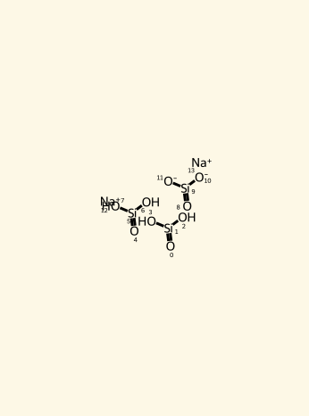 O=[Si](O)O.O=[Si](O)O.O=[Si]([O-])[O-].[Na+].[Na+]